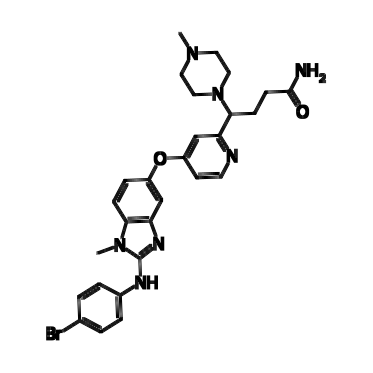 CN1CCN(C(CCC(N)=O)c2cc(Oc3ccc4c(c3)nc(Nc3ccc(Br)cc3)n4C)ccn2)CC1